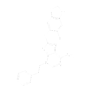 Nc1ncn(CCc2ccccc2)c2nc(Sc3cc4c(cc3I)OCO4)nc1-2